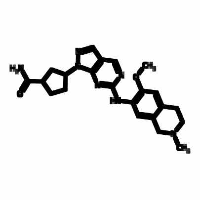 COc1cc2c(cc1Nc1ncc3cnn(C4CCC(C(N)=O)C4)c3n1)CN(C)CC2